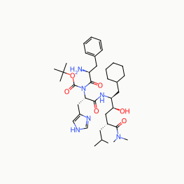 CC(C)C[C@H](C[C@H](O)[C@H](CC1CCCCC1)NC(=O)[C@H](Cc1c[nH]cn1)N(C(=O)OC(C)(C)C)C(=O)[C@@H](N)Cc1ccccc1)C(=O)N(C)C